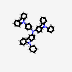 c1ccc(-n2c3ccccc3c3cc(N(c4ccc(-n5c6ccccc6c6ccccc65)cc4)c4ccc5c(c4)c4ccccc4n5-c4ccccc4)ccc32)cc1